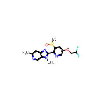 CC[S+]([O-])c1cc(OCC(F)F)cnc1-c1nc2cc(C(F)(F)F)ncc2n1C